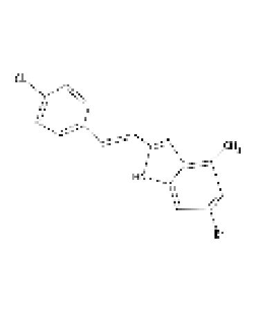 Cc1cc(Br)cc2[nH]c(/C=C/c3ccc(Cl)cc3)cc12